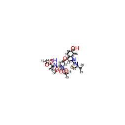 C=C[C@@H]1C[C@]1(NC(=O)[C@@H]1C[C@@H](Oc2cc(-c3nc(C(C)C)cs3)nc3c(C)c(O)ccc23)CN1C(=O)OC(C)(C)C)C(=O)OCC